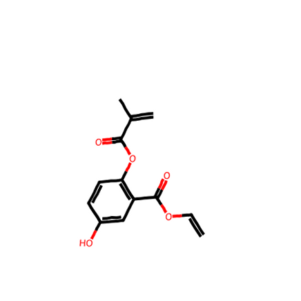 C=COC(=O)c1cc(O)ccc1OC(=O)C(=C)C